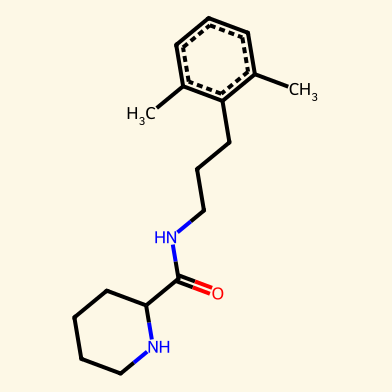 Cc1cccc(C)c1CCCNC(=O)C1CCCCN1